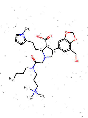 CCCCN(CCC[N+](C)(C)C)C(=O)CN1C[C@H](c2cc(CO)c3c(c2)OCO3)[C@@H](C(=O)O)[C@@H]1CCc1cccn1C